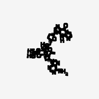 C=C(OP(=O)(S)OC[C@@H]1CC[C@H](n2cnc3c(=O)n4ccnc4[nH]c32)O1)[C@@H]1[C@@H](COP(=O)(O)S)C[C@H]1n1cnc2c(N)ncnc21